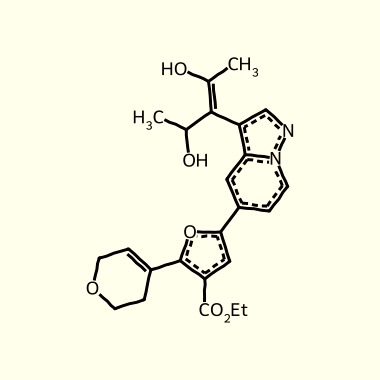 CCOC(=O)c1cc(-c2ccn3ncc(/C(=C(\C)O)C(C)O)c3c2)oc1C1=CCOCC1